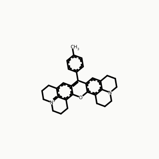 Cc1ccc(C2=c3cc4c5c(c3Oc3c2cc2c6c3CCCN6CCC2)CCC[N+]=5CCC4)cc1